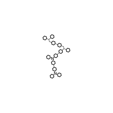 c1ccc(C(Cc2ccc(-c3ccc(CC(c4ccccc4)c4ccc(-c5ccc(N(c6ccccc6)c6ccc(-c7ccc(N(c8ccccc8)c8ccccc8)cc7)cc6)cc5)cc4)cc3)cc2)c2ccccc2)cc1